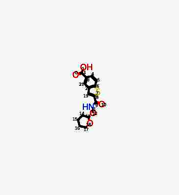 O=C(O)c1ccc2sc(C(=O)NOC3CCCCO3)cc2c1